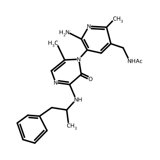 CC(=O)NCc1cc(-n2c(C)cnc(NC(C)Cc3ccccc3)c2=O)c(N)nc1C